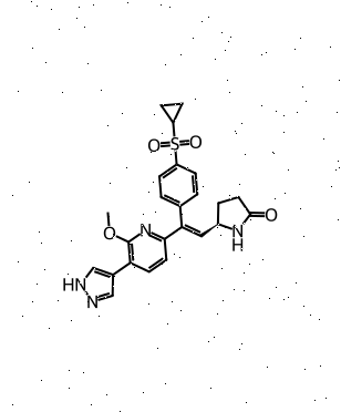 COc1nc(/C(=C/[C@H]2CCC(=O)N2)c2ccc(S(=O)(=O)C3CC3)cc2)ccc1-c1cn[nH]c1